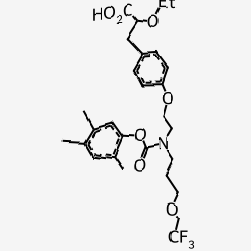 CCOC(Cc1ccc(OCCN(CCCOCC(F)(F)F)C(=O)Oc2cc(C)c(C)cc2C)cc1)C(=O)O